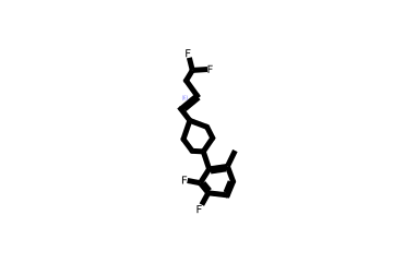 Cc1ccc(F)c(F)c1C1CCC(/C=C/CC(F)F)CC1